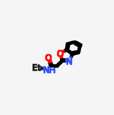 CCNC(=O)Cc1nc2ccccc2o1